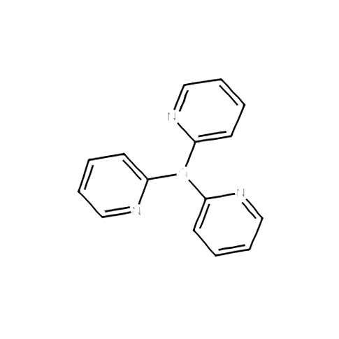 c1ccc([Si](c2ccccn2)c2ccccn2)nc1